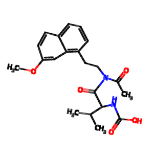 COc1ccc2cccc(CCN(C(C)=O)C(=O)C(NC(=O)O)C(C)C)c2c1